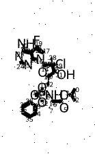 CC(C)OC(=O)[C@H](C)N[P@](=O)(OC[C@H]1O[C@@H](n2cc(F)c3c(N)ncnc32)[C@](C)(Cl)[C@@H]1O)Oc1ccccc1